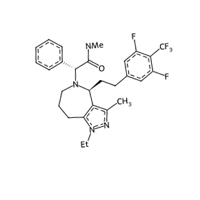 CCn1nc(C)c2c1CCCN([C@@H](C(=O)NC)c1ccccc1)[C@H]2CCc1cc(F)c(C(F)(F)F)c(F)c1